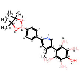 Bc1c(B)c(-c2cnc(-c3ccc(B4OC(C)(C)C(C)(C)O4)cc3)cc2C)c(B)c(B)c1O